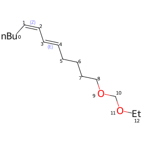 CCCC/C=C\C=C\CCCCOCOCC